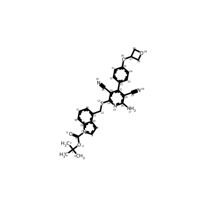 CC(C)(C)OC(=O)n1ccc2c(CSc3nc(N)c(C#N)c(-c4ccc(OC5COC5)cc4)c3C#N)cccc21